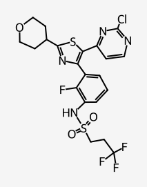 O=S(=O)(CCC(F)(F)F)Nc1cccc(-c2nc(C3CCOCC3)sc2-c2ccnc(Cl)n2)c1F